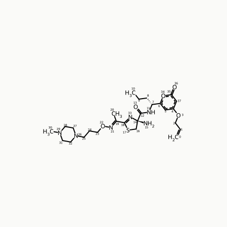 C=CCOc1cc([C@@H](CCC)NC(=O)[C@]2(N)CSC(/C(C)=N/OCCCN3CCN(C)CC3)=N2)oc(=O)c1